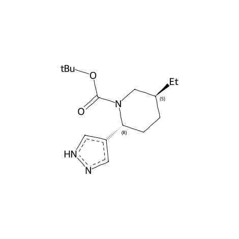 CC[C@H]1CC[C@H](c2cn[nH]c2)N(C(=O)OC(C)(C)C)C1